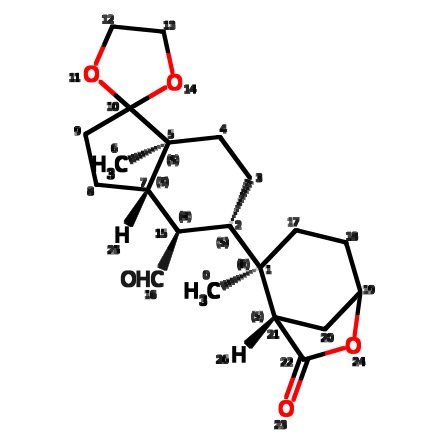 C[C@]1([C@H]2CC[C@@]3(C)[C@@H](CCC34OCCO4)[C@@H]2C=O)CCC2C[C@@H]1C(=O)O2